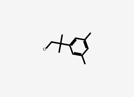 Cc1cc(C)cc(C(C)(C)CCl)c1